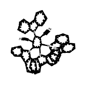 N#Cc1c(-n2c3ccccc3c3ccccc32)c(C#N)c(-n2c3ccccc3c3ccccc32)c(-n2c3ccccc3c3ccc4c5ccccc5oc4c32)c1-n1c2ccccc2c2ccccc21